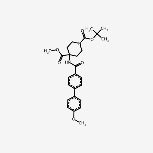 COC(=O)C1(NC(=O)c2ccc(-c3ccc(OC)cc3)cc2)CCN(C(=O)OC(C)(C)C)CC1